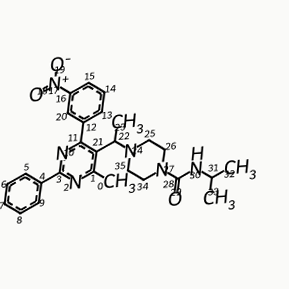 Cc1nc(-c2ccccc2)nc(-c2cccc([N+](=O)[O-])c2)c1C(C)N1CCN(C(=O)NC(C)C)CC1